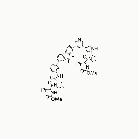 COC(=O)NC(C(=O)N1CCCC1c1nc(-c2cncc(-c3ccc4c(c3)C(F)(F)c3cc(-c5cccc(NC(=O)[C@@H]6CC(C)CN6C(=O)[C@@H](NC(=O)OC)C(C)C)c5)ccc3-4)c2)c[nH]1)C(C)C